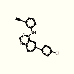 C#Cc1cccc(Nc2ncnc3ccc(-c4ccc(Cl)cc4)cc23)c1